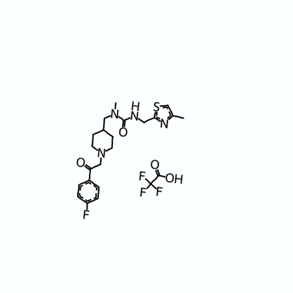 Cc1csc(CNC(=O)N(C)CC2CCN(CC(=O)c3ccc(F)cc3)CC2)n1.O=C(O)C(F)(F)F